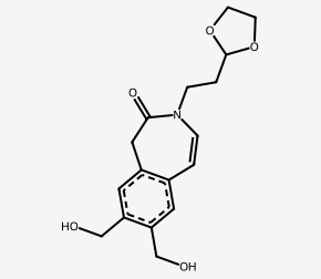 O=C1Cc2cc(CO)c(CO)cc2C=CN1CCC1OCCO1